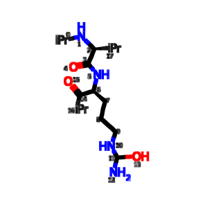 CC(C)N[C@H](C(=O)N[C@@H](CCCNC(N)O)C(=O)C(C)C)C(C)C